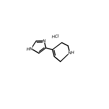 C1=C(c2c[nH]cn2)CCNC1.Cl